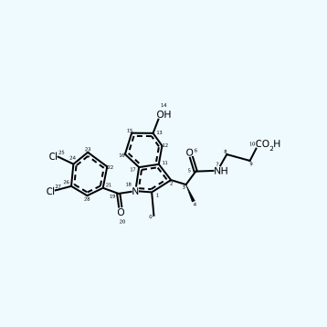 Cc1c([C@H](C)C(=O)NCCC(=O)O)c2cc(O)ccc2n1C(=O)c1ccc(Cl)c(Cl)c1